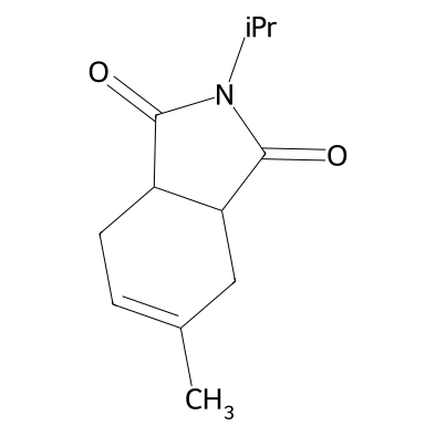 CC1=CCC2C(=O)N(C(C)C)C(=O)C2C1